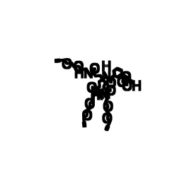 C#CCOCCOCCNC(=O)CCC(CCC(=O)NCCOCCOCC#C)(CCC(=O)NCCOCCOCC#C)NC(=O)c1cccc(OP(=O)(O)CC)c1